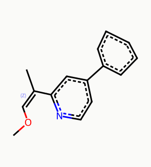 CO/C=C(/C)c1cc(-c2ccccc2)ccn1